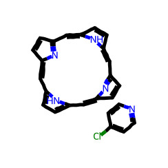 C1=Cc2cc3ccc(cc4nc(cc5ccc(cc1n2)[nH]5)C=C4)[nH]3.Clc1ccncc1